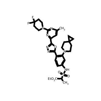 CCOC(=O)C(C)S(=O)(=O)Nc1ccc(-c2nnc(-c3cc(C)nc(N4CCC(F)(F)CC4)n3)o2)c(N2CCC3(CC2)CC3)c1